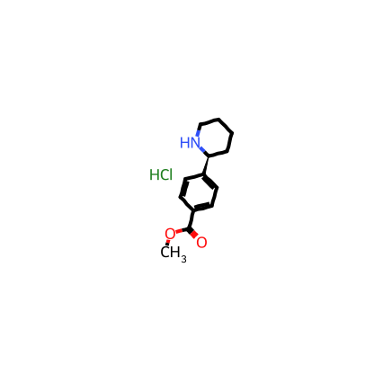 COC(=O)c1ccc([C@@H]2CCCCN2)cc1.Cl